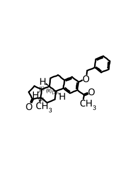 CC(=O)c1cc2c(cc1OCc1ccccc1)CC[C@@H]1[C@@H]2CC[C@]2(C)C(=O)CC[C@@H]12